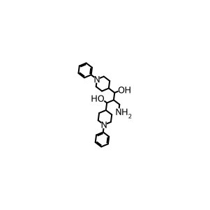 NCC(C(O)C1CCN(c2ccccc2)CC1)C(O)C1CCN(c2ccccc2)CC1